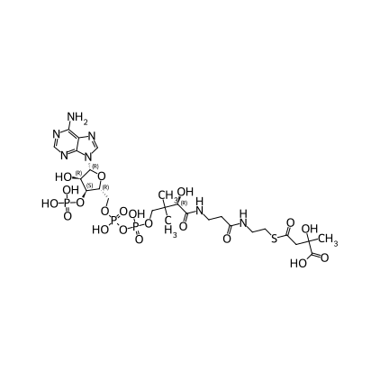 CC(O)(CC(=O)SCCNC(=O)CCNC(=O)[C@H](O)C(C)(C)COP(=O)(O)OP(=O)(O)OC[C@H]1O[C@@H](n2cnc3c(N)ncnc32)[C@H](O)[C@@H]1OP(=O)(O)O)C(=O)O